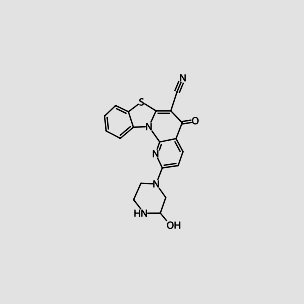 N#Cc1c(=O)c2ccc(N3CCNC(O)C3)nc2n2c1sc1ccccc12